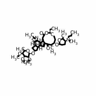 CCCN(C)[C@H]1CC[C@H](O[C@H]2CCC[C@H](CC)OC(=O)C[C@@H]3C(=C[C@H]4[C@@H]5C[C@H](O[C@@H]6O[C@H](C)[C@H](OC)C(OC)C6OC)C[C@H]5c5sc(C)nc5[C@H]43)C(=O)[C@@H]2C)OC1C